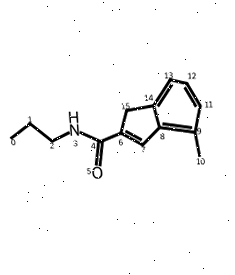 CCCNC(=O)C1=Cc2c(C)cccc2C1